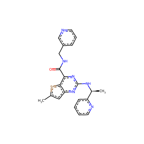 Cc1cc2nc(N[C@@H](C)c3ccccn3)nc(C(=O)NCc3cccnc3)c2s1